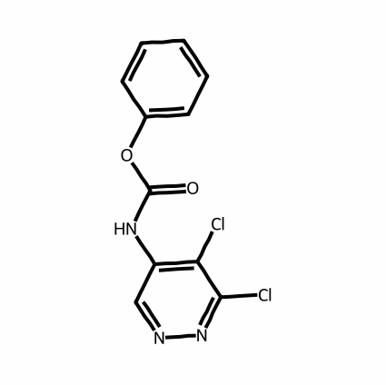 O=C(Nc1cnnc(Cl)c1Cl)Oc1ccccc1